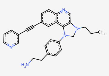 CCCN1CN(c2ccc(CCN)cc2)c2c1cnc1ccc(C#Cc3cccnc3)cc21